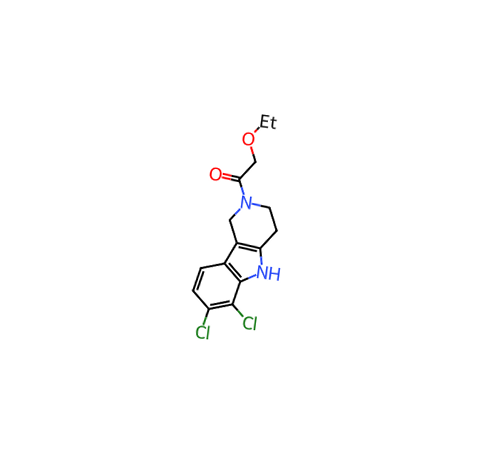 CCOCC(=O)N1CCc2[nH]c3c(Cl)c(Cl)ccc3c2C1